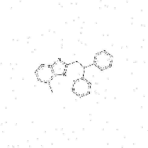 Cc1cccc2nc(CP(c3ccccc3)c3ccccc3)nn12